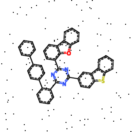 c1ccc(-c2ccc(-c3ccccc3-c3nc(-c4ccc5sc6ccccc6c5c4)nc(-c4cccc5c4oc4ccccc45)n3)cc2)cc1